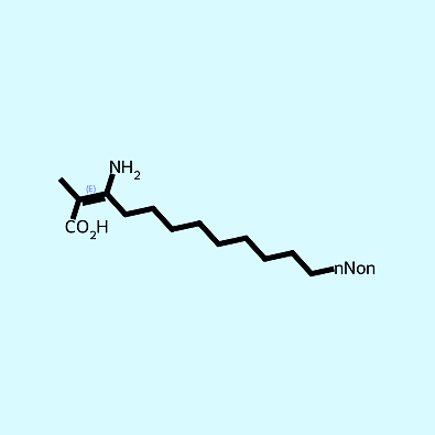 CCCCCCCCCCCCCCCCCC/C(N)=C(/C)C(=O)O